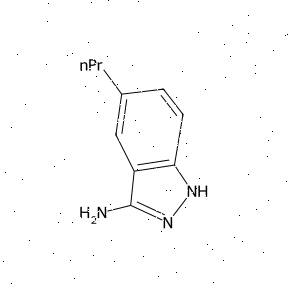 CCCc1ccc2[nH]nc(N)c2c1